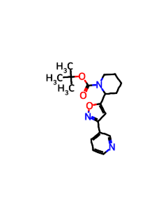 CC(C)(C)OC(=O)N1CCCCC1c1cc(-c2cccnc2)no1